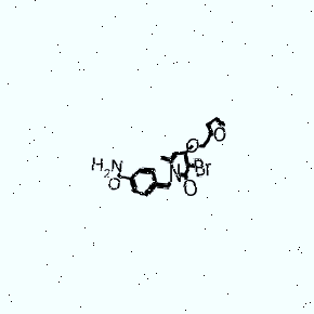 Cc1cc(OCc2ccco2)c(Br)c(=O)n1Cc1ccc(C(N)=O)cc1